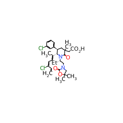 C=C/C(Cl)=C\C=C(/C)[C@@H]1[C@@H](c2cccc(Cl)c2)C[C@](C)(CC(=O)O)C(=O)N1[C@@H](CC)CN1CC(C)(C)OC1=O